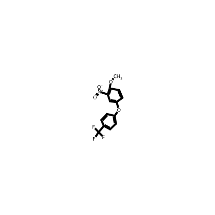 COc1ccc(Oc2ccc(C(F)(F)F)cc2)cc1[N+](=O)[O-]